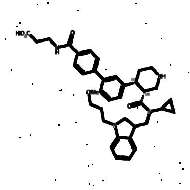 COCCCN1CC(CN(C(=O)[C@H]2CNCC[C@@H]2c2cccc(-c3ccc(C(=O)NCCC(=O)O)cc3)c2)C2CC2)c2ccccc21